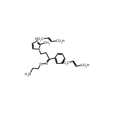 Cc1nccn1CCC(=NOCCN)c1ccccc1.O=C(O)C=CC(=O)O.O=C(O)C=CC(=O)O